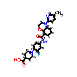 Cc1ccc(N2CCOc3c(C(=O)Nc4ccc(N5CCC(C(=O)O)CC5)c(F)c4)cccc32)nc1